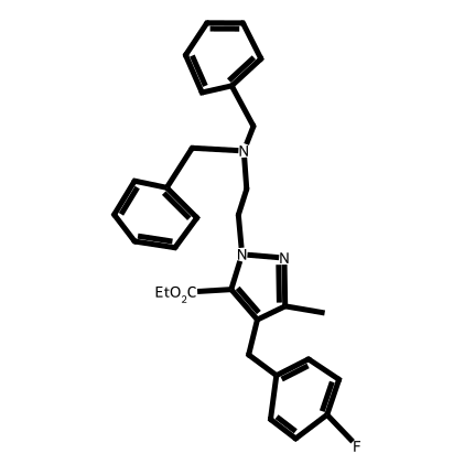 CCOC(=O)c1c(Cc2ccc(F)cc2)c(C)nn1CCN(Cc1ccccc1)Cc1ccccc1